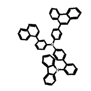 c1cc(-c2cccc3ccccc23)cc(N(c2ccc(-c3ccccc3-n3c4ccccc4c4ccccc43)cc2)c2ccc(-c3cc4ccccc4c4ccccc34)cc2)c1